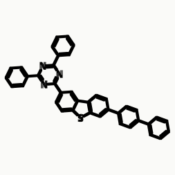 c1ccc(-c2ccc(-c3ccc4c(c3)sc3ccc(-c5nc(-c6ccccc6)nc(-c6ccccc6)n5)cc34)cc2)cc1